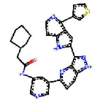 O=C(CC1CCCCC1)Nc1cncc(-c2ccc3[nH]nc(-c4cc5c(-c6ccsc6)nccc5[nH]4)c3n2)c1